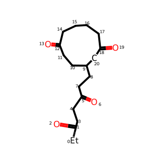 CCC(=O)CCC(=O)CCC1CCC(=O)CCCCC(=O)C1